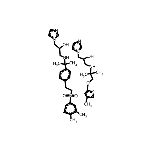 Cc1ccc(S(=O)(=O)CCc2ccc(C(C)(C)NCC(O)Cn3ccnc3)cc2)cc1C.Cc1csc(OCC(C)(C)NCC(O)Cn2ccnc2)c1